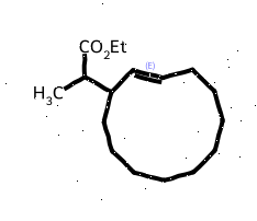 CCOC(=O)C(C)C1/C=C/CCCCCCCCC1